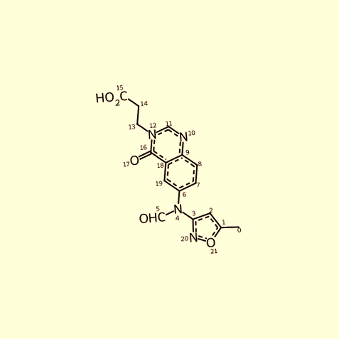 Cc1cc(N(C=O)c2ccc3ncn(CCC(=O)O)c(=O)c3c2)no1